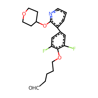 O=CCCCCOc1c(F)cc(-c2cccnc2OC2CCOCC2)cc1F